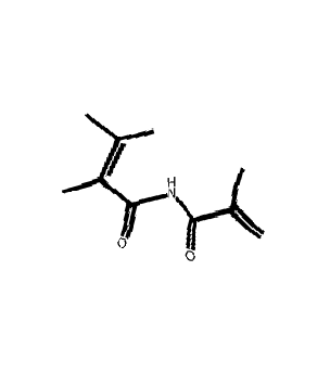 C=C(C)C(=O)NC(=O)C(C)=C(C)C